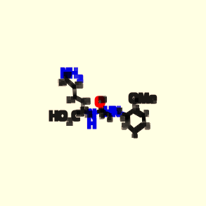 COc1ccccc1NCC(=O)N[C@@H](CCCCN)C(=O)O